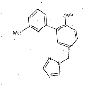 COc1ccc(Cn2cncn2)cc1-c1cccc(SC)c1